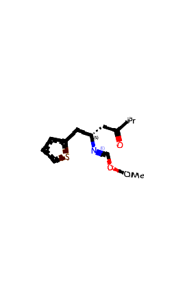 COO/C=N/[C@@H](CC(=O)C(C)C)Cc1cccs1